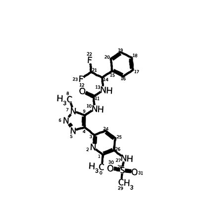 Cc1nc(-c2nnn(C)c2NC(=O)NC(c2ccccc2)C(F)F)ccc1NS(C)(=O)=O